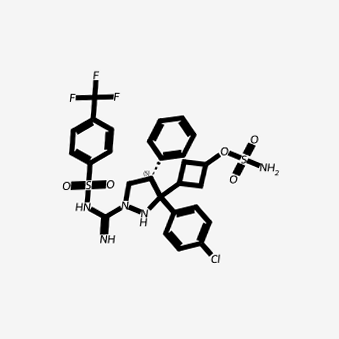 N=C(NS(=O)(=O)c1ccc(C(F)(F)F)cc1)N1C[C@H](c2ccccc2)C(c2ccc(Cl)cc2)(C2CC(OS(N)(=O)=O)C2)N1